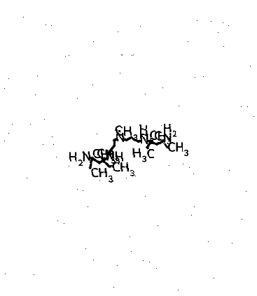 CCC(C)(N)CC(C)(CC)NCCCN(C)CCCNC(C)(CC)CC(C)(N)CC